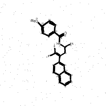 CCC(CC(=C(F)F)c1ccc2ccccc2c1)NC(=O)c1ccc(OC)cc1